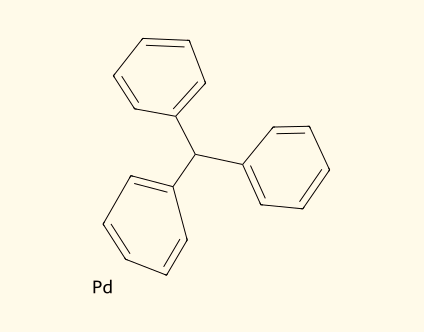 [Pd].c1ccc(C(c2ccccc2)c2ccccc2)cc1